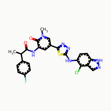 CC(C(=O)Nc1cc(-c2nnc(Nc3ccc4[nH]ncc4c3Cl)s2)cn(C)c1=O)c1ccc(F)cc1